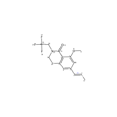 C/C=C/c1cc2c(c(OC)c1)C(=O)N(CC(F)(F)F)CC2